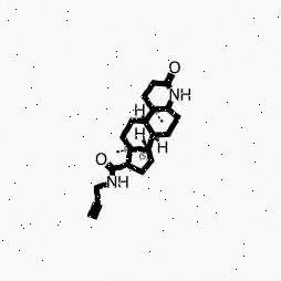 C#CCNC(=O)C1CC[C@H]2[C@@H]3CCC4NC(=O)CC[C@]4(C)[C@@H]3CC[C@]12C